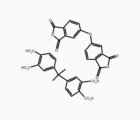 CC(C)(c1ccc(C(=O)O)c(C(=O)O)c1)c1ccc(C(=O)O)c(C(=O)O)c1.O=C1OC(=O)c2cc(Oc3ccc4c(c3)C(=O)OC4=O)ccc21